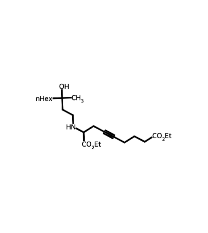 CCCCCCC(C)(O)CCNC(CC#CCCCC(=O)OCC)C(=O)OCC